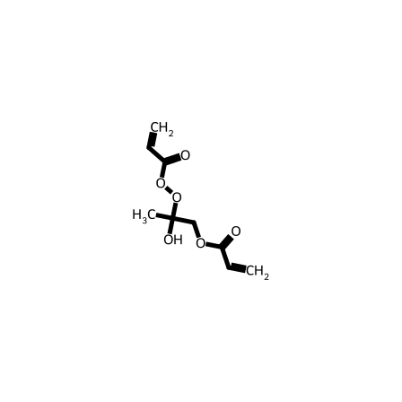 C=CC(=O)OCC(C)(O)OOC(=O)C=C